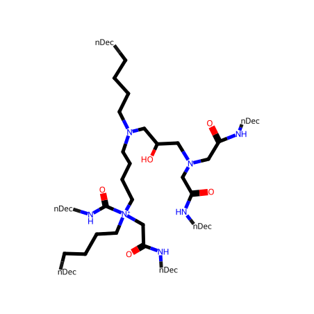 CCCCCCCCCCCCCCN(CCCC[N+](CCCCCCCCCCCCCC)(CC(=O)NCCCCCCCCCC)C(=O)NCCCCCCCCCC)CC(O)CN(CC(=O)NCCCCCCCCCC)CC(=O)NCCCCCCCCCC